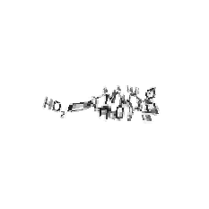 Cc1c([C@@H]2CN3CCN(C(=O)O)C[C@H]3CO2)ccc2c1COC2=O